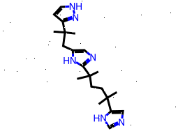 CC(C)(Cc1cnc(C(C)(C)CCC(C)(C)c2cnc[nH]2)[nH]1)c1cc[nH]n1